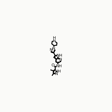 Cc1n[nH]c(C(=O)Nc2cnc3[nH]c(-c4cnn(C5CCNCC5)c4)cc3c2)c1C